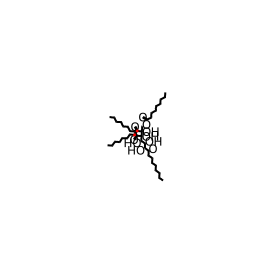 CCCCCCCCC(=O)OC[C@](O)(C(=O)CCCCCCCC)[C@](O)(C(=O)CCCCCCCC)[C@H](O)[C@@H](O)C(O)C(=O)CCCCCCCC